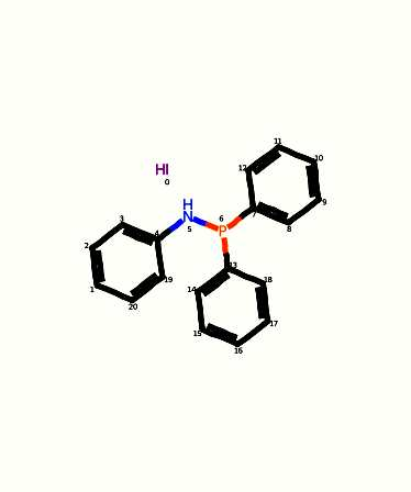 I.c1ccc(NP(c2ccccc2)c2ccccc2)cc1